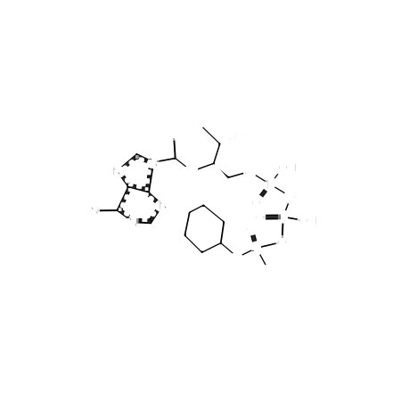 C[C@@H](O)[C@@H](COP(=O)(O)OP(=O)(O)OP(=O)(O)SC1CCCCC1)OC(O)n1cnc2c(N)ncnc21